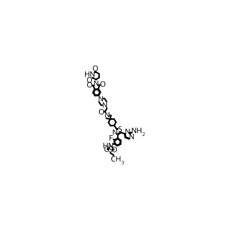 CCCS(=O)(=O)Nc1cccc(-c2nc(C3CCC4(CC3)CN(C(=O)CN3CCN(c5ccc6c(c5)C(=O)N([C@@H]5CCC(=O)NC5=O)C6=O)CC3)C4)sc2-c2ccnc(N)n2)c1F